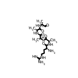 C[C@H](NC(=O)[C@H](N)CCCNC(=N)N)C(=O)N[C@@H](C)C(=O)N[C@@H](C)C(=O)N[C@@H](C)[C]=O